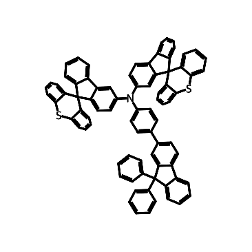 c1ccc(C2(c3ccccc3)c3ccccc3-c3ccc(-c4ccc(N(c5ccc6c(c5)-c5ccccc5C65c6ccccc6Sc6ccccc65)c5ccc6c(c5)C5(c7ccccc7Sc7ccccc75)c5ccccc5-6)cc4)cc32)cc1